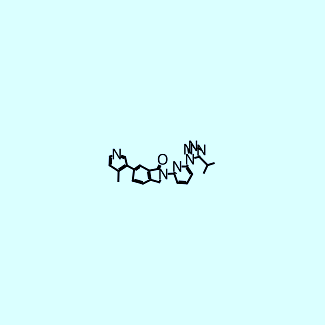 Cc1ccncc1-c1ccc2c(c1)C(=O)N(c1cccc(-n3nnnc3C(C)C)n1)C2